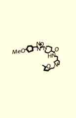 COc1ccc(-c2noc(N3CCC(C(=O)NCC4CCN(Cc5ccc(C)o5)C4)CC3)n2)cc1